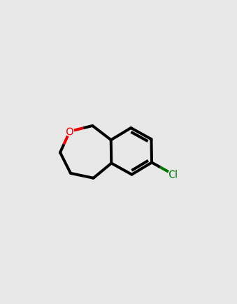 ClC1=CC2CCCOCC2C=C1